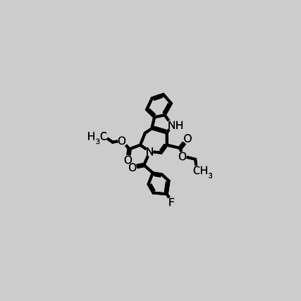 CCOC(=O)C1=CN(C(=O)c2ccc(F)cc2)C(C(=O)OCC)Cc2c1[nH]c1ccccc21